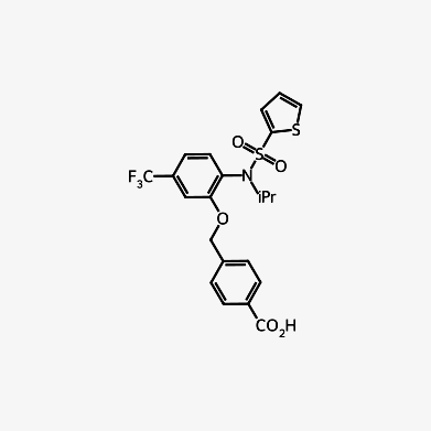 CC(C)N(c1ccc(C(F)(F)F)cc1OCc1ccc(C(=O)O)cc1)S(=O)(=O)c1cccs1